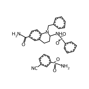 N#Cc1cccc(S(N)(=O)=O)c1.NC(=O)c1ccc2c(c1)CCC(NS(=O)(=O)c1ccccc1)N2Cc1ccccc1